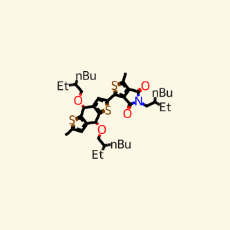 CCCCC(CC)COC1c2cc(-c3sc(C)c4c3C(=O)N(CC(CC)CCCC)C4=O)sc2C(OCC(CC)CCCC)c2cc(C)sc21